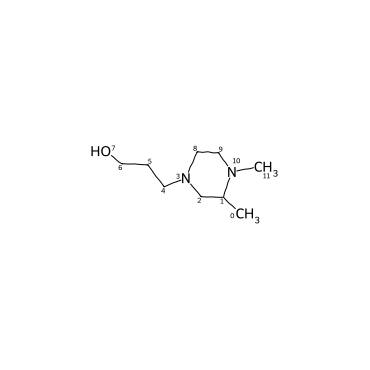 CC1CN(CCCO)CCN1C